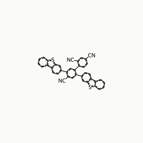 N#Cc1ccc(-c2cc(-c3ccc4c(c3)sc3ccccc34)c(C#N)cc2-c2ccc3c(c2)sc2ccccc23)c(C#N)c1